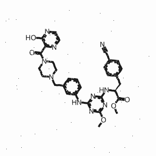 COC(=O)[C@H](Cc1ccc(C#N)cc1)Nc1nc(Nc2cccc(CN3CCN(C(=O)c4nccnc4O)CC3)c2)nc(OC)n1